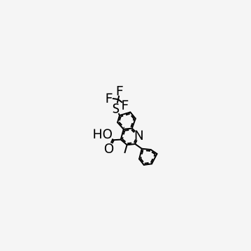 Cc1c(-c2ccccc2)nc2ccc(SC(F)(F)F)cc2c1C(=O)O